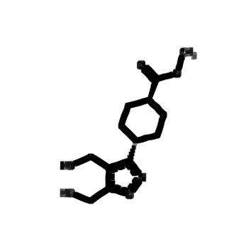 COC(=O)[C@H]1CC[C@H](c2noc(CO)c2CO)CC1